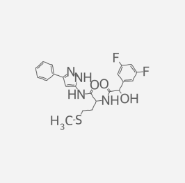 CSCCC(NC(=O)C(O)c1cc(F)cc(F)c1)C(=O)Nc1cc(-c2ccccc2)n[nH]1